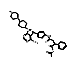 CC(=O)OC(=O)C(CC(=O)Nc1ccc(-c2nn(C3CCC(N4CCN(C)CC4)CC3)c3ncnc(N)c23)cc1)c1ccccc1